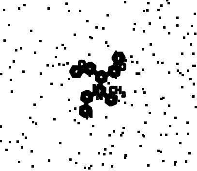 Cc1ccccc1-c1cc(-c2cc(-c3ccc4oc5ccccc5c4c3)cc(-c3ccc4oc5ccccc5c4c3)c2)nc(-c2cccc(-c3cccnc3)c2)n1